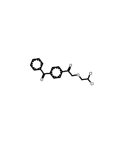 O=C(COCC(Cl)Cl)c1ccc(C(=O)c2ccccc2)cc1